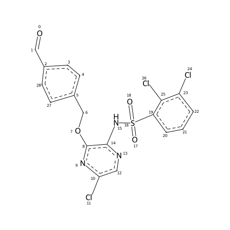 O=Cc1ccc(COc2nc(Cl)cnc2NS(=O)(=O)c2cccc(Cl)c2Cl)cc1